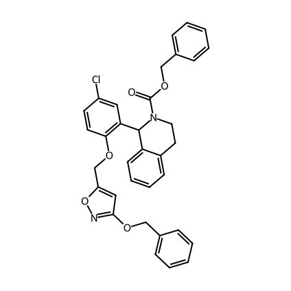 O=C(OCc1ccccc1)N1CCc2ccccc2C1c1cc(Cl)ccc1OCc1cc(OCc2ccccc2)no1